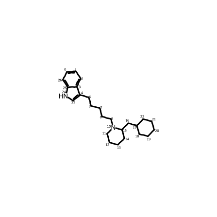 c1ccc2c(CCCCCN3CCCCC3CC3CCCCC3)c[nH]c2c1